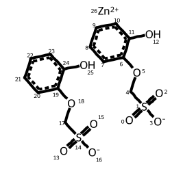 O=S(=O)([O-])COc1ccccc1O.O=S(=O)([O-])COc1ccccc1O.[Zn+2]